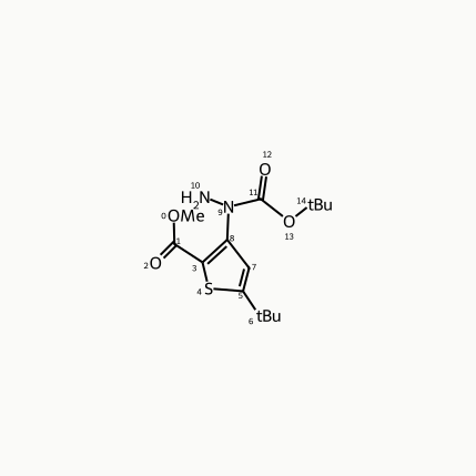 COC(=O)c1sc(C(C)(C)C)cc1N(N)C(=O)OC(C)(C)C